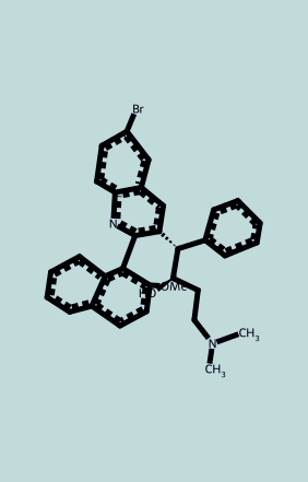 COc1ccc2ccccc2c1-c1nc2ccc(Br)cc2cc1[C@H](c1ccccc1)[C@H](O)CCN(C)C